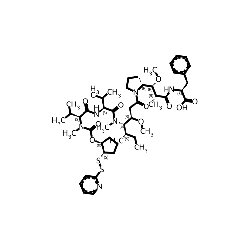 CC[C@H](C)[C@@H]([C@@H](CC(=O)N1CCC[C@@H]1[C@H](OC)[C@@H](C)C(=O)N[C@@H](Cc1ccccc1)C(=O)O)OC)N(C)C(=O)[C@@H](NC(=O)[C@H](C(C)C)N(C)C(=O)O[C@H]1CCC[C@@H]1SSc1ccccn1)C(C)C